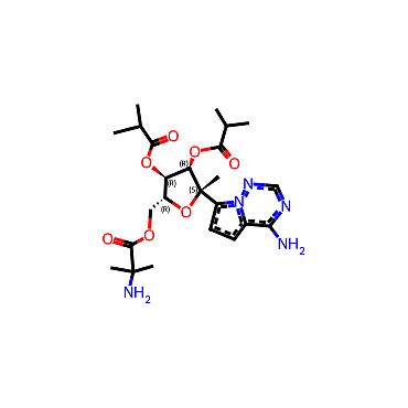 CC(C)C(=O)O[C@H]1[C@@H](OC(=O)C(C)C)[C@](C)(c2ccc3c(N)ncnn23)O[C@@H]1COC(=O)C(C)(C)N